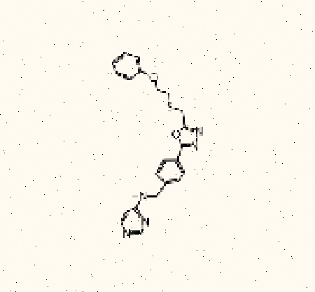 c1ccc(OCCSCc2nnc(-c3ccc(CNc4ccncn4)cc3)o2)cc1